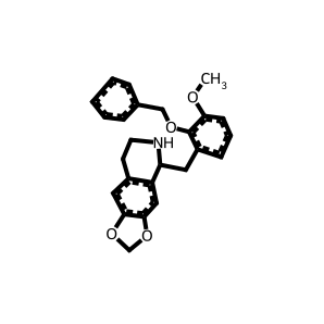 COc1cccc(CC2NCCc3cc4c(cc32)OCO4)c1OCc1ccccc1